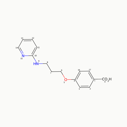 O=C(O)c1ccc(OCCCNc2ccccn2)cc1